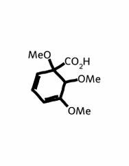 COC1=CC=CC(OC)(C(=O)O)C1OC